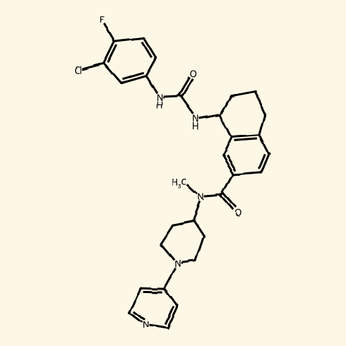 CN(C(=O)c1ccc2c(c1)C(NC(=O)Nc1ccc(F)c(Cl)c1)CCC2)C1CCN(c2ccncc2)CC1